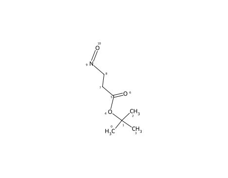 CC(C)(C)OC(=O)CCN=O